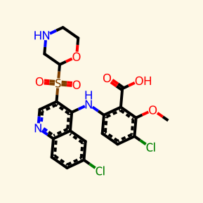 COc1c(Cl)ccc(Nc2c(S(=O)(=O)C3CNCCO3)cnc3ccc(Cl)cc23)c1C(=O)O